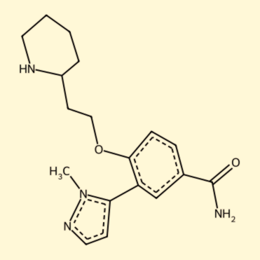 Cn1nccc1-c1cc(C(N)=O)ccc1OCCC1CCCCN1